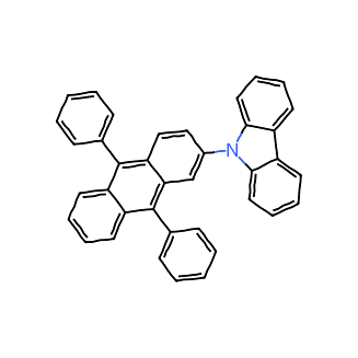 c1ccc(-c2c3ccccc3c(-c3ccccc3)c3cc(-n4c5ccccc5c5ccccc54)ccc23)cc1